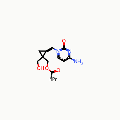 CCCC(=O)OCC1(CO)C/C1=C/n1ccc(N)nc1=O